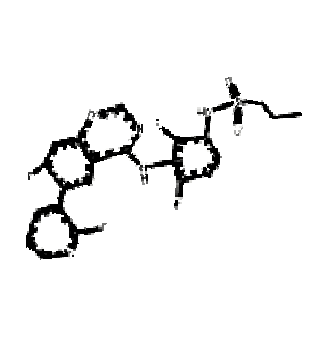 CCCS(=O)(=O)Nc1ccc(F)c(Nc2ncnc3cc(F)c(-c4cccnc4F)cc23)c1F